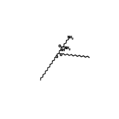 CCCCCCCCCCCCCCOCC(CNC(=O)[C@@H](N)CCCCN)OCCCCCCCCCCCCCC